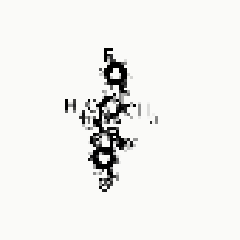 C[C@@H]1CN(Cc2ccc(F)cc2)[C@@H](C)CN1C(=O)COc1ccc(C=O)cc1[N+](=O)[O-]